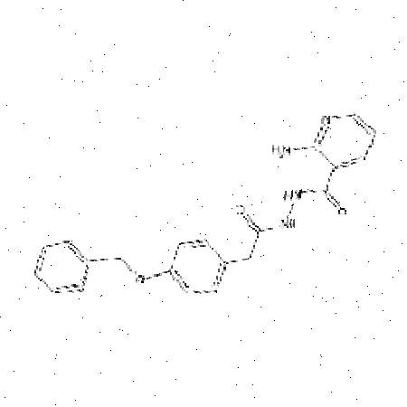 Nc1ncccc1C(=O)NNC(=O)Cc1ccc(OCc2ccccc2)cc1